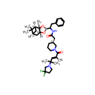 CC1(C)[C@@H]2C[C@H]3OB(C(Cc4ccccc4)NC(=O)C[C@@H]4CCCN(C(=O)C(C#N)=CC(C)(C)N5CCC(F)(F)C5)C4)O[C@@]3(C)[C@H]1C2